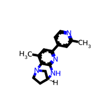 Cc1cc(-c2cc(C)c3c(n2)N[C@H]2CCN3C2)ccn1